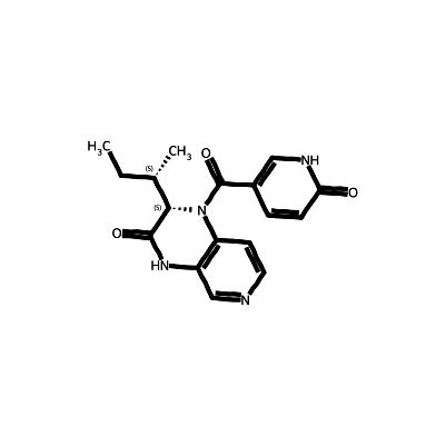 CC[C@H](C)[C@H]1C(=O)Nc2cnccc2N1C(=O)c1ccc(=O)[nH]c1